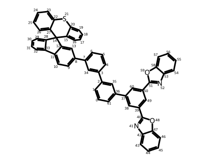 c1cc(-c2cccc(-c3ccc4c(c3)C3(c5ccccc5Sc5ccccc53)c3ccccc3-4)c2)cc(-c2cc(-c3nc4ccccc4o3)cc(-c3nc4ccccc4o3)c2)c1